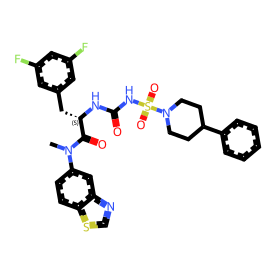 CN(C(=O)[C@H](Cc1cc(F)cc(F)c1)NC(=O)NS(=O)(=O)N1CCC(c2ccccc2)CC1)c1ccc2scnc2c1